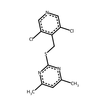 Cc1cc(C)nc(SCc2c(Cl)cncc2Cl)n1